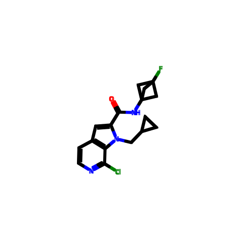 O=C(NC12CC(F)(C1)C2)c1cc2ccnc(Cl)c2n1CC1CC1